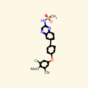 COc1c(Cl)cc(Oc2ccc(-c3ccc4nc(NS(C)(=O)=O)cnc4c3)cc2)cc1C#N